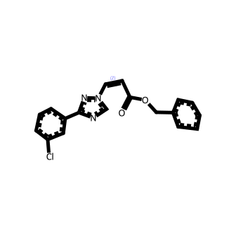 O=C(/C=C\n1cnc(-c2cccc(Cl)c2)n1)OCc1ccccc1